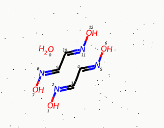 O.O/N=C/C=N/O.O/N=C/C=N/O